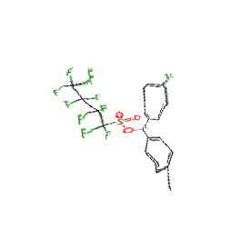 Cc1ccc([I+](OS(=O)(=O)C(F)(F)C(F)(F)C(F)(F)C(F)(F)F)c2ccc(F)cc2)cc1